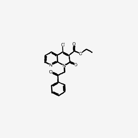 CCOC(=O)c1c(Cl)c2cccnc2n(CC(=O)c2ccccc2)c1=O